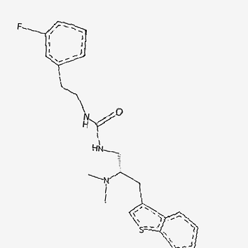 CN(C)[C@H](CNC(=O)NCCc1cccc(F)c1)Cc1csc2ccccc12